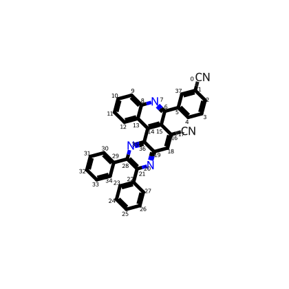 N#Cc1cccc(-c2nc3ccccc3c3c2c(C#N)cc2nc(-c4ccccc4)c(-c4ccccc4)nc23)c1